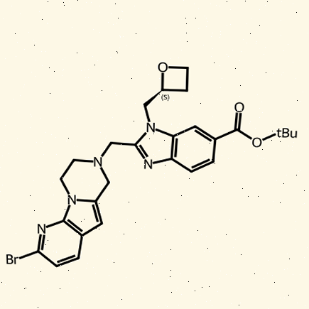 CC(C)(C)OC(=O)c1ccc2nc(CN3CCn4c(cc5ccc(Br)nc54)C3)n(C[C@@H]3CCO3)c2c1